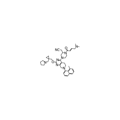 Cc1cccc2cccc(N3CCc4c(nc(OCC5(CN6CCCC6)CC5)nc4N4CCN(C(=O)/C=C/CN(C)C)C(CC#N)C4)C3)c12